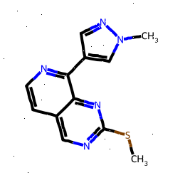 CSc1ncc2ccnc(-c3cnn(C)c3)c2n1